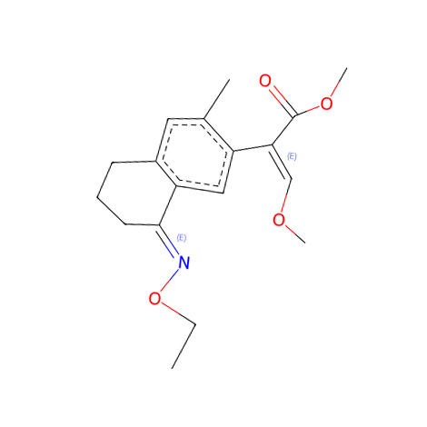 CCO/N=C1\CCCc2cc(C)c(/C(=C\OC)C(=O)OC)cc21